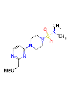 COCc1nccc(N2CCN(S(=O)(=O)N(C)C)CC2)n1